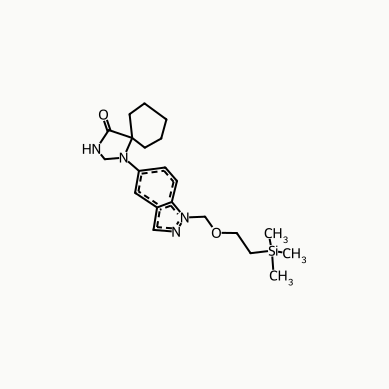 C[Si](C)(C)CCOCn1ncc2cc(N3CNC(=O)C34CCCCC4)ccc21